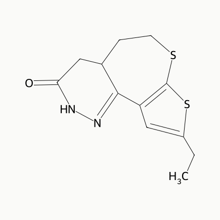 CCc1cc2c(s1)SCCC1CC(=O)NN=C21